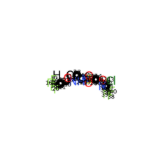 Cc1ccc2c(c1NC(=O)Cc1ccc(C(F)(F)F)c(F)c1)CCN(S(=O)(=O)c1ccc(Oc3ncc(C(F)(F)F)cc3Cl)cc1)C2